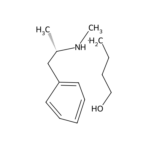 CN[C@@H](C)Cc1ccccc1.[CH2]CCCO